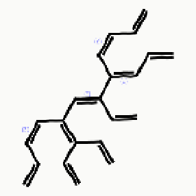 C=C/C=C\C(/C=C(C=C)/C(/C=C\C=C)=C/C=C)=C(C=C)C=C